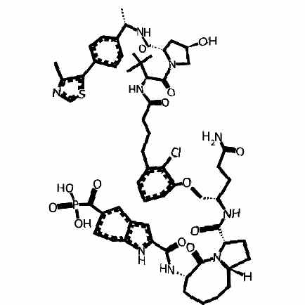 Cc1ncsc1-c1ccc([C@H](C)NC(=O)[C@@H]2C[C@@H](O)CN2C(=O)[C@@H](NC(=O)CCCc2cccc(OC[C@H](CCC(N)=O)NC(=O)[C@@H]3CC[C@@H]4CCCC[C@H](NC(=O)c5cc6cc(C(=O)P(=O)(O)O)ccc6[nH]5)C(=O)N43)c2Cl)C(C)(C)C)cc1